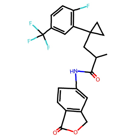 CC(CC1(c2cc(C(F)(F)F)ccc2F)CC1)C(=O)Nc1ccc2c(c1)COC2=O